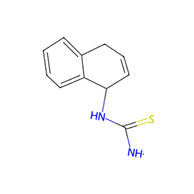 [NH]C(=S)NC1C=CCc2ccccc21